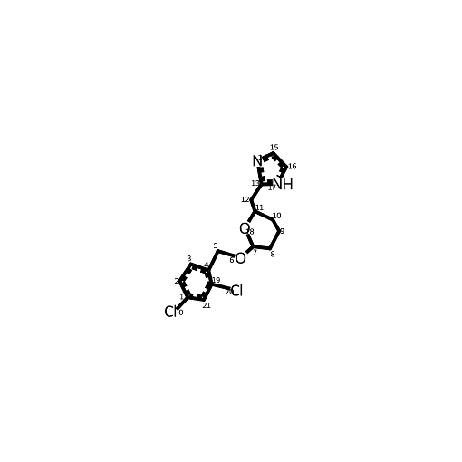 Clc1ccc(COC2CCCC(Cc3ncc[nH]3)O2)c(Cl)c1